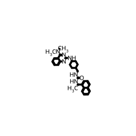 CC(NC(=O)NCC1CCC(Nc2nc(N(C)C)c3ccccc3n2)CC1)c1cccc2ccccc12